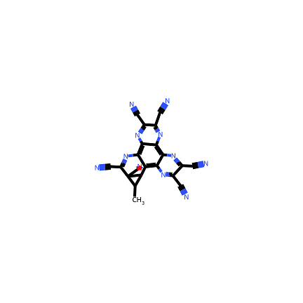 CC1C2c3c(c4nc(C#N)c(C#N)nc4c4nc(C#N)c(C#N)nc34)N=C(C#N)C12C#N